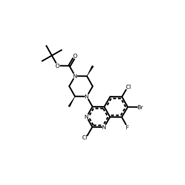 C[C@H]1CN(c2nc(Cl)nc3c(F)c(Br)c(Cl)cc23)[C@@H](C)CN1C(=O)OC(C)(C)C